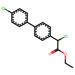 CCOC(=O)C(Cl)c1ccc(-c2ccc(Cl)cc2)cc1